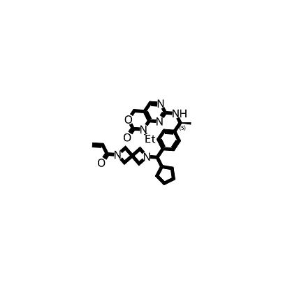 C=CC(=O)N1CC2(C1)CN(C(c1ccc([C@H](C)Nc3ncc4c(n3)N(CC)C(=O)OC4)cc1)C1CCCC1)C2